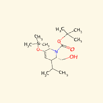 CC(C)C1C=C(O[Si](C)(C)C)CN(C(=O)OC(C)(C)C)[C@@H]1CO